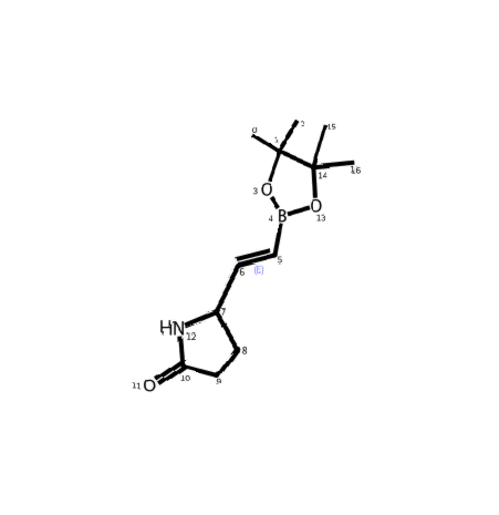 CC1(C)OB(/C=C/C2CCC(=O)N2)OC1(C)C